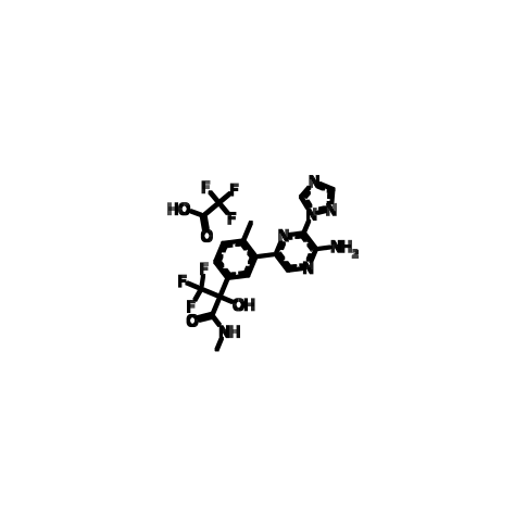 CNC(=O)C(O)(c1ccc(C)c(-c2cnc(N)c(-n3cncn3)n2)c1)C(F)(F)F.O=C(O)C(F)(F)F